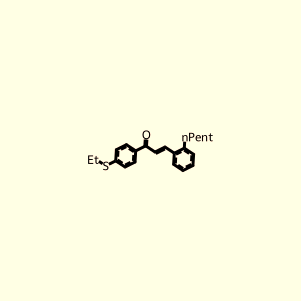 CCCCCc1ccccc1/C=C/C(=O)c1ccc(SCC)cc1